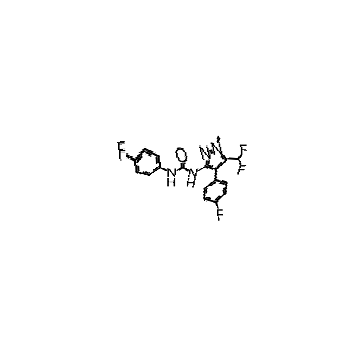 Cn1nc(NC(=O)Nc2ccc(F)cc2)c(-c2ccc(F)cc2)c1C(F)F